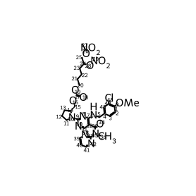 COc1ccc(CNc2nc(N3CCC[C@H]3COC(=O)OCCCCC(CO[N+](=O)[O-])O[N+](=O)[O-])ncc2C(=O)N(C)c2ncccn2)cc1Cl